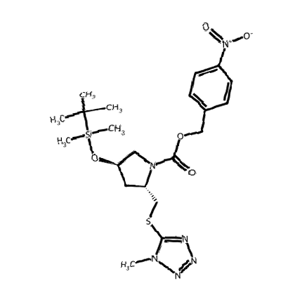 Cn1nnnc1SC[C@@H]1C[C@@H](O[Si](C)(C)C(C)(C)C)CN1C(=O)OCc1ccc([N+](=O)[O-])cc1